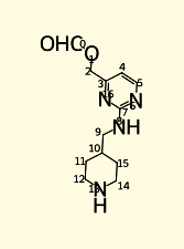 O=COCc1ccnc(NCC2CCNCC2)n1